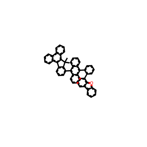 CC1(C)c2c(-c3c4ccccc4c(-c4ccccc4-c4cccc5c4oc4ccccc45)c4ccccc34)cccc2-c2c1c1ccccc1c1ccccc21